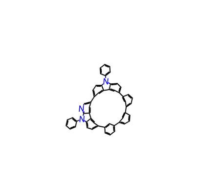 c1ccc(-n2c3ccc4cc3c3cc(ccc32)c2cnc3c(c2)c2cc(ccc2n3-c2ccccc2)c2cccc(c2)c2cccc(c2)c2cccc4c2)cc1